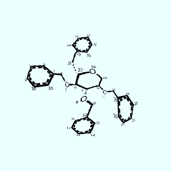 c1ccc(CO[C@@H]2[C@@H](OCc3ccccc3)[C@H](OCc3ccccc3)CO[C@H]2Cc2ccccc2)cc1